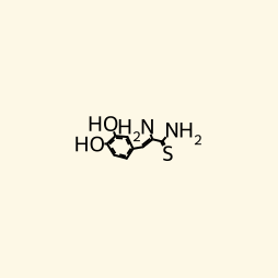 NC(=S)/C(N)=C/c1ccc(O)c(O)c1